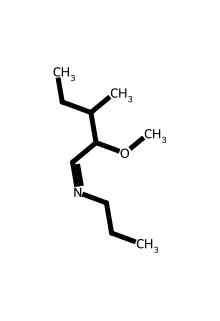 CCC/N=C\C(OC)C(C)CC